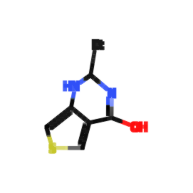 CCC1N=C(O)c2cscc2N1